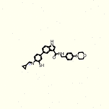 O=C(NCc1ccc(N2CCOCC2)cc1)c1c[nH]c2ccc(-c3ccc(/N=C/C4CC4)c(S)c3)cc12